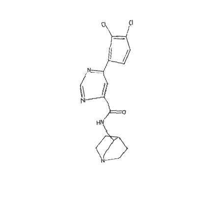 O=C(NC1CN2CCC1CC2)c1cc(-c2ccc(Cl)c(Cl)c2)ncn1